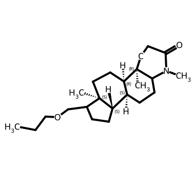 CCCOCC1CC[C@H]2[C@@H]3CCC4N(C)C(=O)CC[C@]4(C)[C@@H]3CC[C@]12C